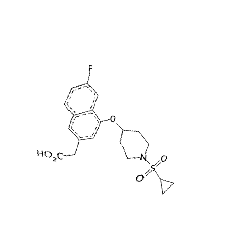 O=C(O)Cc1cc(OC2CCN(S(=O)(=O)C3CC3)CC2)c2cc(F)ccc2c1